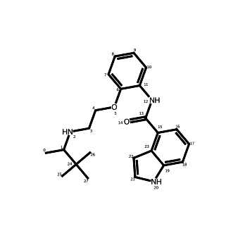 CC(NCCOc1ccccc1NC(=O)c1cccc2[nH]ccc12)C(C)(C)C